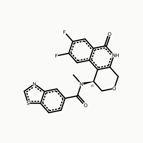 CN(C(=O)c1ccc2scnc2c1)[C@@H]1COCc2[nH]c(=O)c3cc(F)c(F)cc3c21